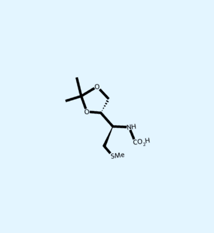 CSC[C@H](NC(=O)O)[C@H]1COC(C)(C)O1